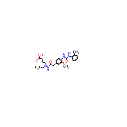 CCN(CCCC(=O)O)NC(=O)Cc1ccc(NC(=O)Nc2ccccc2C)c(OC)c1